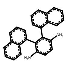 Nc1ccc(N)c(-c2cccc3ccccc23)c1-c1cccc2ccccc12